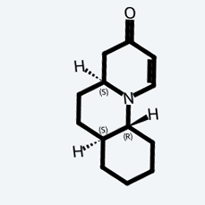 O=C1C=CN2[C@@H](CC[C@@H]3CCCC[C@H]32)C1